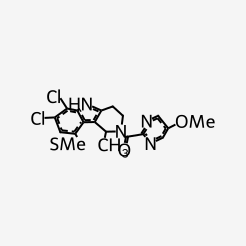 COc1cnc(C(=O)N2CCc3[nH]c4c(Cl)c(Cl)cc(SC)c4c3C2C)nc1